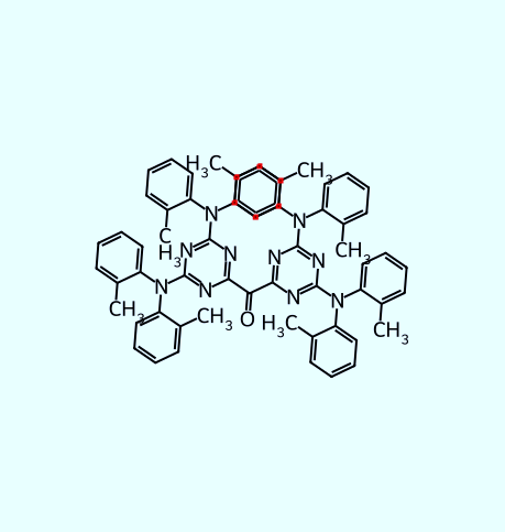 Cc1ccccc1N(c1nc(C(=O)c2nc(N(c3ccccc3C)c3ccccc3C)nc(N(c3ccccc3C)c3ccccc3C)n2)nc(N(c2ccccc2C)c2ccccc2C)n1)c1ccccc1C